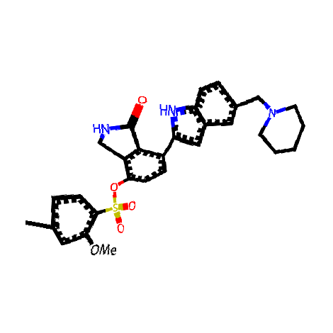 COc1cc(C)ccc1S(=O)(=O)Oc1ccc(-c2cc3cc(CN4CCCCC4)ccc3[nH]2)c2c1CNC2=O